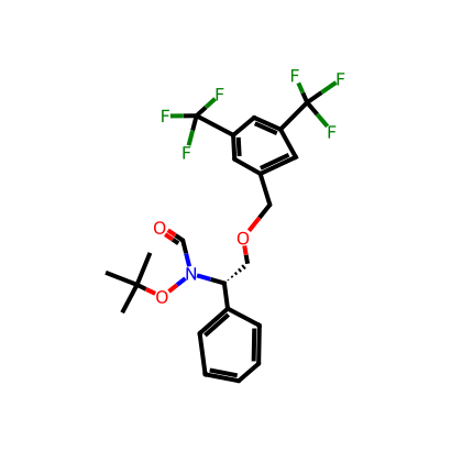 CC(C)(C)ON(C=O)[C@H](COCc1cc(C(F)(F)F)cc(C(F)(F)F)c1)c1ccccc1